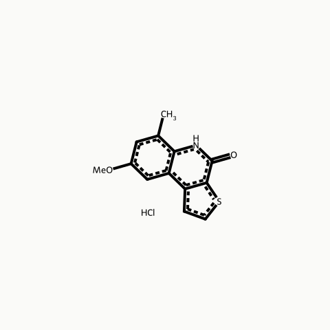 COc1cc(C)c2[nH]c(=O)c3sccc3c2c1.Cl